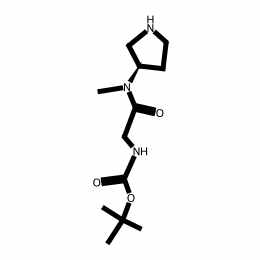 CN(C(=O)CNC(=O)OC(C)(C)C)[C@@H]1CCNC1